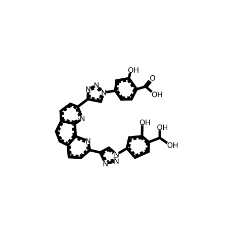 O=C(O)c1ccc(-n2cc(-c3ccc4ccc5ccc(-c6cn(-c7ccc(C(O)O)c(O)c7)nn6)nc5c4n3)nn2)cc1O